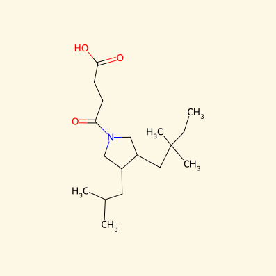 CCC(C)(C)CC1CN(C(=O)CCC(=O)O)CC1CC(C)C